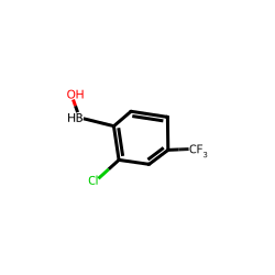 OBc1ccc(C(F)(F)F)cc1Cl